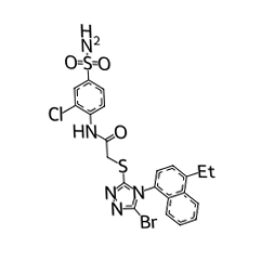 CCc1ccc(-n2c(Br)nnc2SCC(=O)Nc2ccc(S(N)(=O)=O)cc2Cl)c2ccccc12